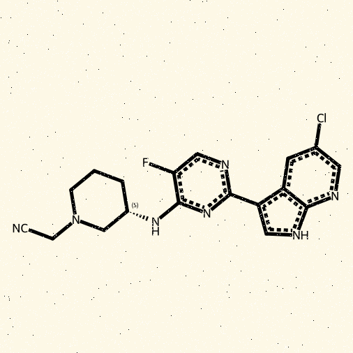 N#CCN1CCC[C@H](Nc2nc(-c3c[nH]c4ncc(Cl)cc34)ncc2F)C1